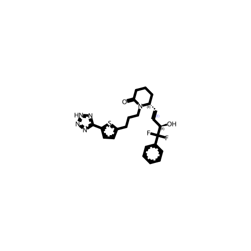 O=C1CCC[C@H](/C=C/[C@@H](O)C(F)(F)c2ccccc2)N1CCCc1ccc(-c2nn[nH]n2)s1